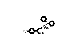 CC(C)(C)[SiH](OCCC(CC#N)c1ccc(C(F)(F)F)cc1)[SiH](c1ccccc1)c1ccccc1